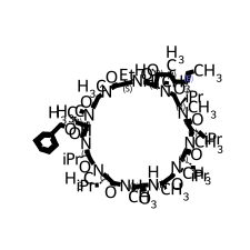 C/C=C/C[C@@H](C)[C@@H](O)[C@H]1C(=O)N[C@@H](CC)C(=O)N(C)CC(=O)N(C)[C@@H]([C@@H](C)OCc2ccccc2)C(=O)N[C@@H](C(C)C)C(=O)N(C)[C@@H](CC(C)C)C(=O)N[C@@H](C)C(=O)N[C@H](C)C(=O)N(C)[C@@H](CC(C)C)C(=O)N(C)[C@@H](CC(C)C)C(=O)N(C)[C@H](C(C)C)C(=O)N1C